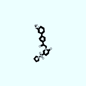 O=C(Cn1cc(S(=O)(=O)N2CCCC2)ccc1=O)c1ccc(-c2cccc(SC(F)(F)F)c2)cc1